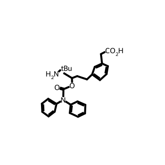 CC(C)(C)N.CC(CCc1cccc(CC(=O)O)c1)OC(=O)N(c1ccccc1)c1ccccc1